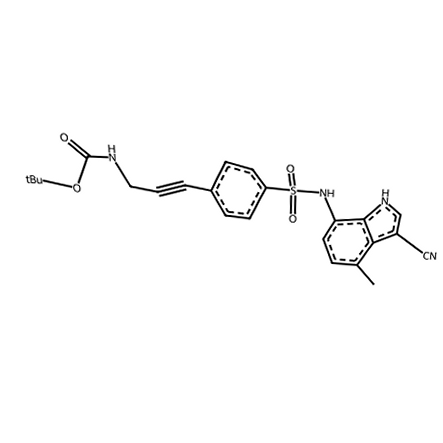 Cc1ccc(NS(=O)(=O)c2ccc(C#CCNC(=O)OC(C)(C)C)cc2)c2[nH]cc(C#N)c12